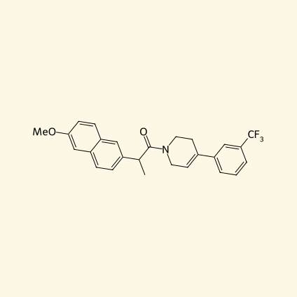 COc1ccc2cc(C(C)C(=O)N3CC=C(c4cccc(C(F)(F)F)c4)CC3)ccc2c1